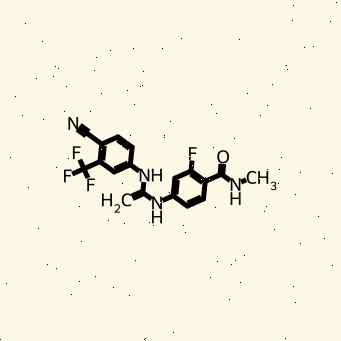 C=C(Nc1ccc(C(=O)NC)c(F)c1)Nc1ccc(C#N)c(C(F)(F)F)c1